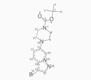 CC(C)(C)OC(=O)N1CCN(c2ccc3c(Br)cnn3c2)CC1